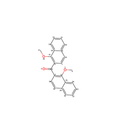 COc1c(C(=O)c2ccc3ccccc3c2OC)ccc2ccccc12